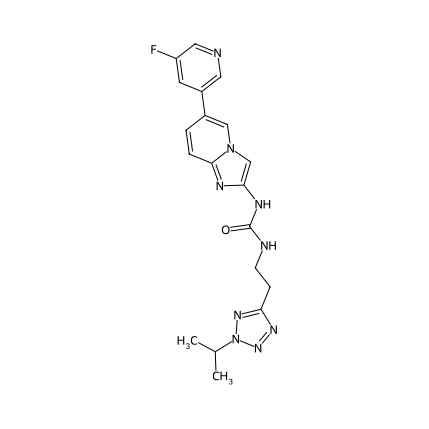 CC(C)n1nnc(CCNC(=O)Nc2cn3cc(-c4cncc(F)c4)ccc3n2)n1